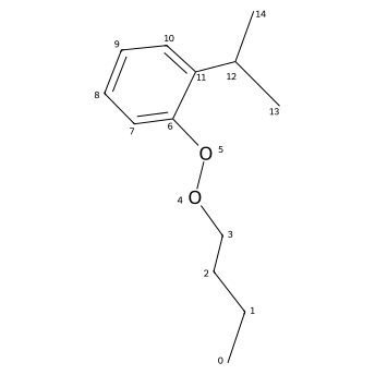 CCCCOOc1ccccc1C(C)C